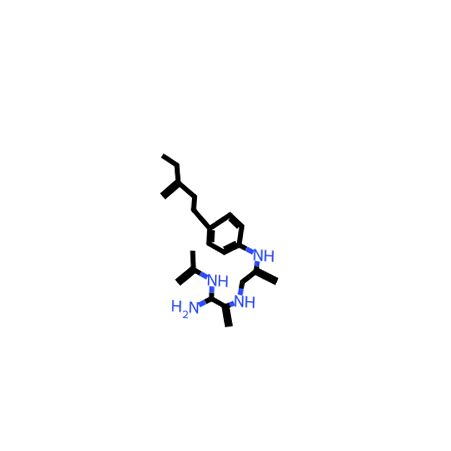 C=C(CC)CCc1ccc(NC(=C)CNC(=C)C(N)NC(=C)C)cc1